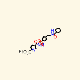 CCOC(=O)c1ccc(C(=O)NS(=O)(=O)c2ccc(CCNC(=O)C3CCCCC3)cc2)cn1